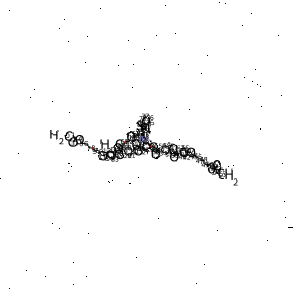 C=CC(=O)OCCCCCCOc1ccc(OC(=O)[C@H]2CC[C@H](OC(=O)c3ccc(OC(=O)[C@H]4CC[C@H](OC(=O)c5ccc(OCCCCCCOC(=O)C=C)cc5)CC4)cc3/C=N/N(CCOCCCC)c3nc4ccccc4s3)CC2)cc1